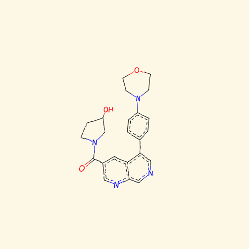 O=C(c1cnc2cncc(-c3ccc(N4CCOCC4)cc3)c2c1)N1CCC(O)C1